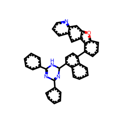 c1ccc(C2=NC(c3ccc(-c4cccc5oc6cc7ncccc7cc6c45)c4ccccc34)NC(c3ccccc3)=N2)cc1